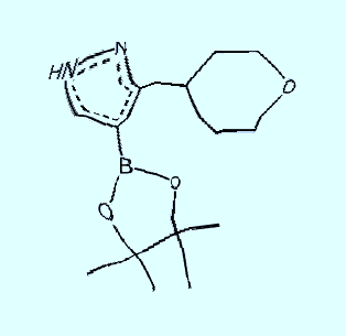 CC1(C)OB(c2c[nH]nc2C2CCOCC2)OC1(C)C